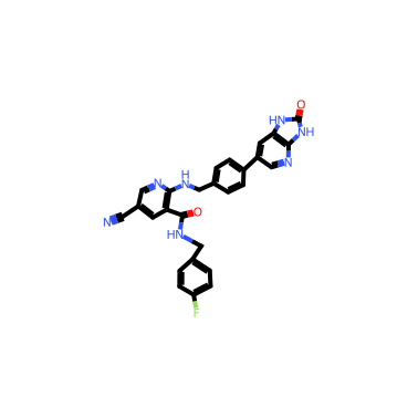 N#Cc1cnc(NCc2ccc(-c3cnc4[nH]c(=O)[nH]c4c3)cc2)c(C(=O)NCc2ccc(F)cc2)c1